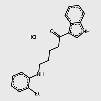 CCc1ccccc1NCCCCC(=O)c1c[nH]c2ccccc12.Cl